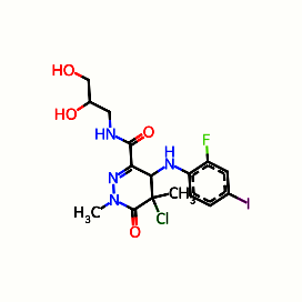 CN1N=C(C(=O)NCC(O)CO)C(Nc2ccc(I)cc2F)C(C)(Cl)C1=O